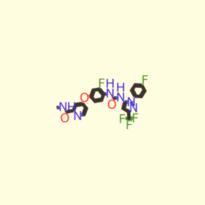 CNC(=O)c1cc(Oc2ccc(NC(=O)Nc3cc(C(F)(F)F)nn3-c3ccc(F)cc3)c(F)c2)ccn1